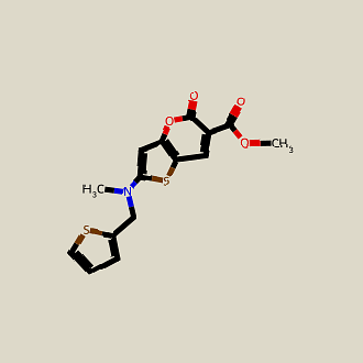 COC(=O)c1cc2sc(N(C)Cc3cccs3)cc2oc1=O